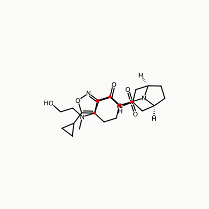 CN(CCO)C1CCN(S(=O)(=O)N2[C@@H]3CC[C@H]2C[C@@H](NC(=O)c2cc(C4CC4)on2)C3)CC1